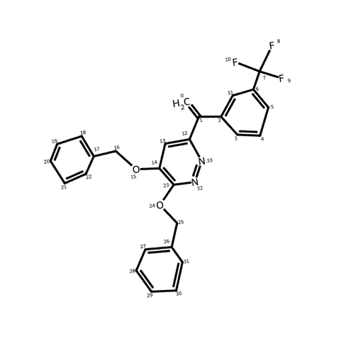 C=C(c1cccc(C(F)(F)F)c1)c1cc(OCc2ccccc2)c(OCc2ccccc2)nn1